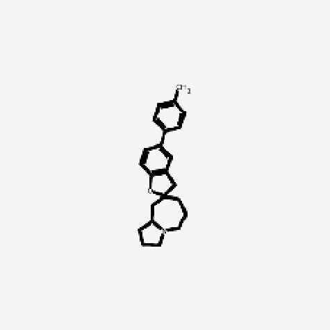 Cc1ccc(-c2ccc3c(c2)CC2(CCCN4CCCC4C2)O3)cc1